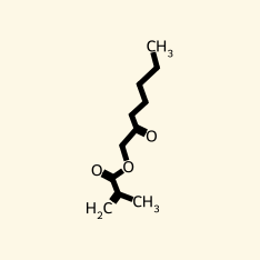 C=C(C)C(=O)OCC(=O)CCCCC